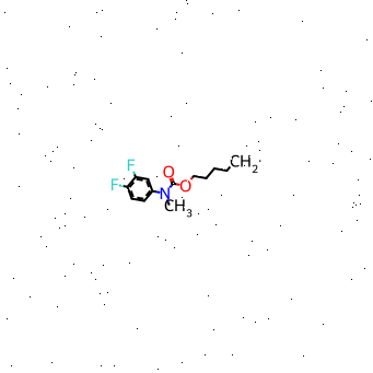 [CH2]CCCCOC(=O)N(C)c1ccc(F)c(F)c1